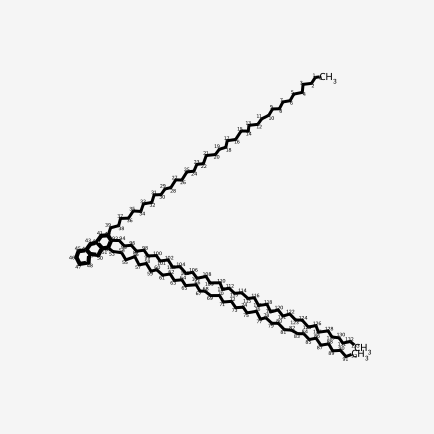 CCCCCCCCCCCCCCCCCCCCCCCCCCCCCCCCCCCCCCCCc1[c]c2cc3ccccc3cc2c(CCCCCCCCCCCCCCCCCCCCCCCCCCCCCCCCCCCCCCCC)c1CCCCCCCCCCCCCCCCCCCCCCCCCCCCCCCCCCCCCCCC